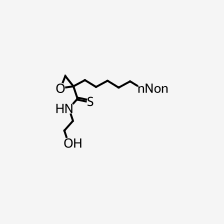 CCCCCCCCCCCCCCC1(C(=S)NCCO)CO1